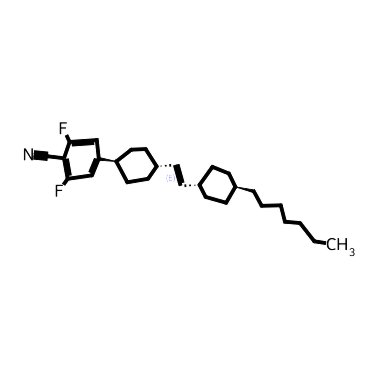 CCCCCCC[C@H]1CC[C@H](/C=C/[C@H]2CC[C@H](c3cc(F)c(C#N)c(F)c3)CC2)CC1